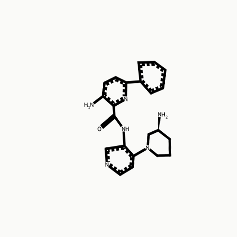 Nc1ccc(-c2ccccc2)nc1C(=O)Nc1cnccc1N1CCC[C@H](N)C1